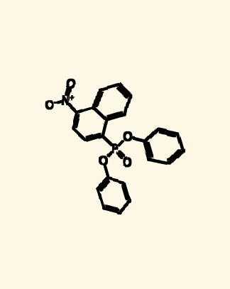 O=[N+]([O-])c1ccc(P(=O)(Oc2ccccc2)Oc2ccccc2)c2ccccc12